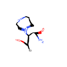 CCC(O)C(C(N)=O)N1CCNCC1